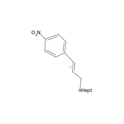 CCCCCCCC/C=C/c1ccc([N+](=O)[O-])cc1